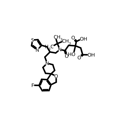 CC(C)(C)N(CC(Cc1cscn1)CN1CCC2(CC1)OCc1ccc(F)cc12)C(=O)CC(O)(CC(=O)O)C(=O)O